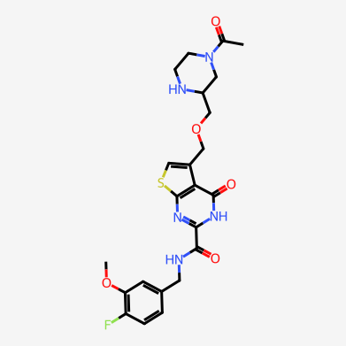 COc1cc(CNC(=O)c2nc3scc(COCC4CN(C(C)=O)CCN4)c3c(=O)[nH]2)ccc1F